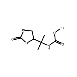 CC(C)(C)OC(=O)NC(C)(C)C1CNC(=O)O1